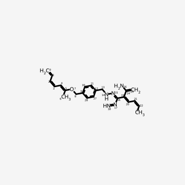 C=C/C=C\C=C(/C)OCc1ccc(CN/N=C(N=N)/C(=C/C=C\C)C(=C)N)cc1